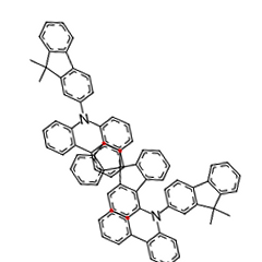 CC1(C)c2ccccc2-c2ccc(N(c3ccccc3-c3ccccc3)c3cccc4c3-c3ccccc3C43c4ccccc4-c4c(N(c5ccc6c(c5)C(C)(C)c5ccccc5-6)c5ccccc5-c5ccccc5)cccc43)cc21